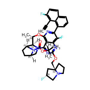 C#Cc1c(F)ccc2cccc(-c3nc4c5c(nc(OC[C@@]67CCCN6C[C@H](F)C7)nc5c3F)N3C[C@H]5CC[C@@H]([C@H]3[C@H](C)O4)N5C(=O)OC(C)(C)C)c12